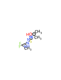 Cc1cc(C)c(-n2cc3sc(NC[C@@H]4C[C@@H](C(F)F)CN(C)C4)nc3n2)c(O)c1